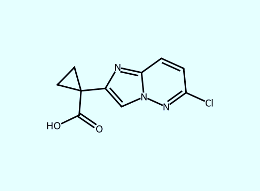 O=C(O)C1(c2cn3nc(Cl)ccc3n2)CC1